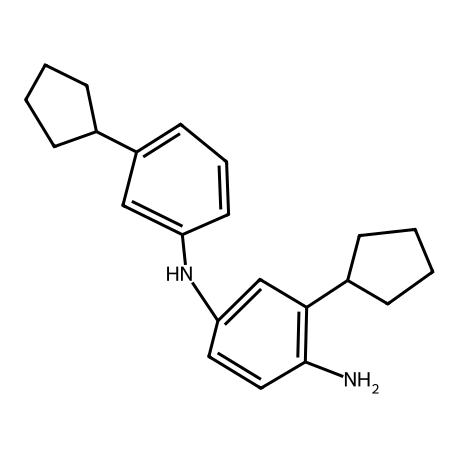 Nc1ccc(Nc2cccc(C3CCCC3)c2)cc1C1CCCC1